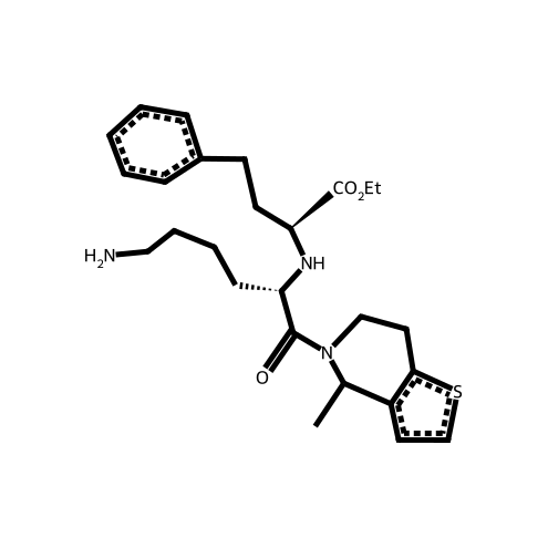 CCOC(=O)[C@H](CCc1ccccc1)N[C@@H](CCCCN)C(=O)N1CCc2sccc2C1C